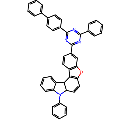 C1=CC2C(c3ccccc3N2c2ccccc2)c2c1oc1cc(-c3nc(-c4ccccc4)nc(-c4ccc(-c5ccccc5)cc4)n3)ccc21